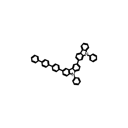 c1ccc(-c2ccc(-c3ccc(-c4ccc5c(c4)c4cc(-c6ccc7c8ccccc8n(-c8ccccc8)c7c6)ccc4n5-c4ccccc4)cc3)cc2)cc1